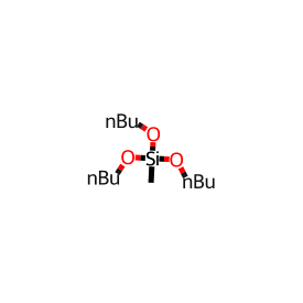 CCCCO[Si](C)(OCCCC)OCCCC